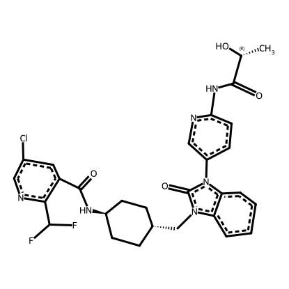 C[C@@H](O)C(=O)Nc1ccc(-n2c(=O)n(C[C@H]3CC[C@H](NC(=O)c4cc(Cl)cnc4C(F)F)CC3)c3ccccc32)cn1